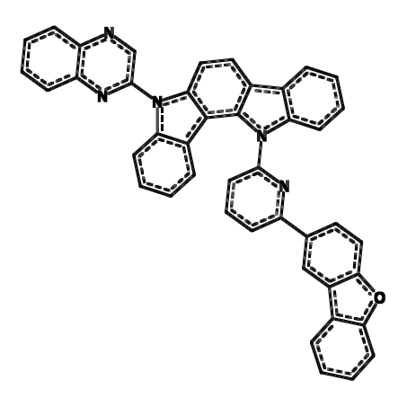 c1cc(-c2ccc3oc4ccccc4c3c2)nc(-n2c3ccccc3c3ccc4c(c5ccccc5n4-c4cnc5ccccc5n4)c32)c1